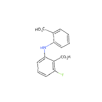 O=C(O)c1ccccc1Nc1cccc(F)c1C(=O)O